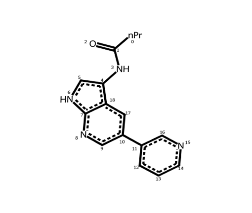 CCCC(=O)Nc1c[nH]c2ncc(-c3cccnc3)cc12